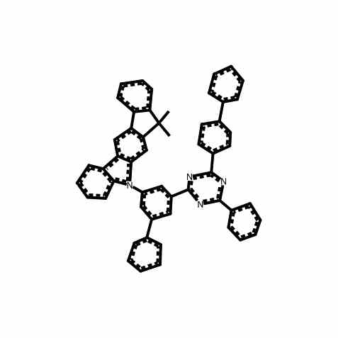 CC1(C)c2ccccc2-c2cc3c4ccccc4n(-c4cc(-c5ccccc5)cc(-c5nc(-c6ccccc6)nc(-c6ccc(-c7ccccc7)cc6)n5)c4)c3cc21